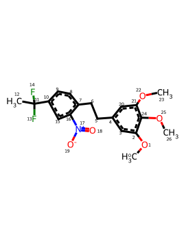 COc1cc(CCc2ccc(C(C)(F)F)cc2[N+](=O)[O-])cc(OC)c1OC